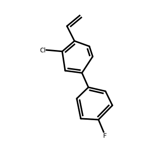 C=Cc1ccc(-c2ccc(F)cc2)cc1Cl